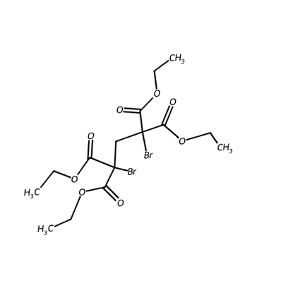 CCOC(=O)C(Br)(CC(Br)(C(=O)OCC)C(=O)OCC)C(=O)OCC